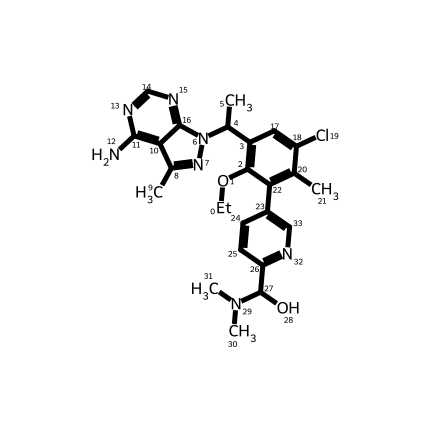 CCOc1c(C(C)n2nc(C)c3c(N)ncnc32)cc(Cl)c(C)c1-c1ccc(C(O)N(C)C)nc1